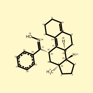 C[C@@]12CCC[C@H]1[C@@H]1CCC3=CCCCC3=C1[C@@H](C(=NO)c1ccccc1)C2